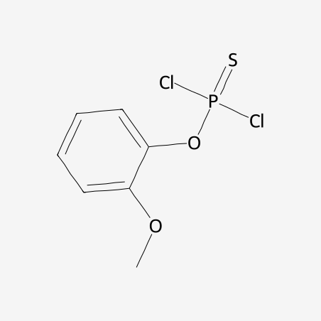 COc1ccccc1OP(=S)(Cl)Cl